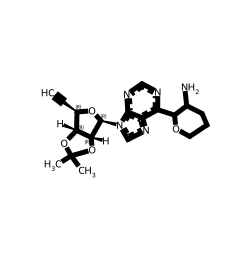 C#C[C@H]1O[C@@H](n2cnc3c(C4OCCCC4N)ncnc32)[C@@H]2OC(C)(C)O[C@@H]21